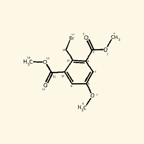 COC(=O)c1cc(OC)cc(C(=O)OC)c1CBr